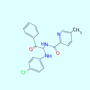 Cc1ccc(C(=O)NC(Nc2ccc(Cl)cc2)C(=O)c2ccccc2)nc1